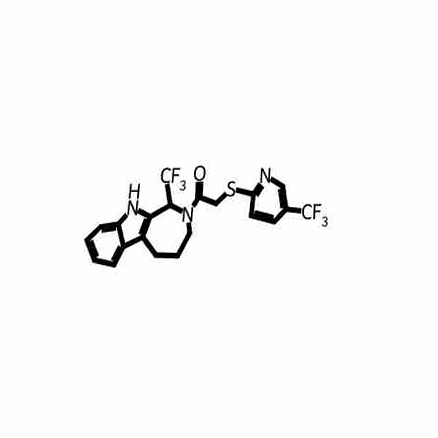 O=C(CSc1ccc(C(F)(F)F)cn1)N1CCCc2c([nH]c3ccccc23)C1C(F)(F)F